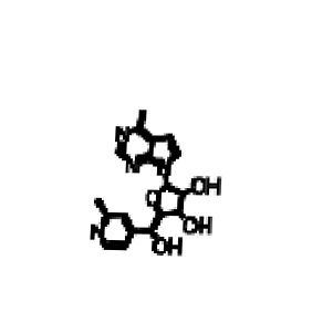 Cc1cc(C(O)C2OC(n3ccc4c(C)ncnc43)C(O)C2O)ccn1